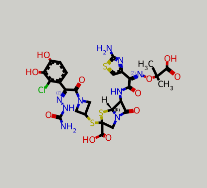 CC(C)(O/N=C(\C(=O)NC1C(=O)N2CC(SC3CN(C(=O)/C(=N\NC(N)=O)c4ccc(O)c(O)c4Cl)C3)(C(=O)O)S[C@H]12)c1csc(N)n1)C(=O)O